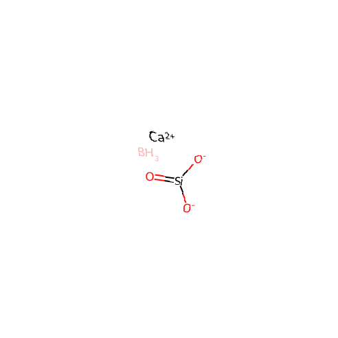 B.O=[Si]([O-])[O-].[Ca+2]